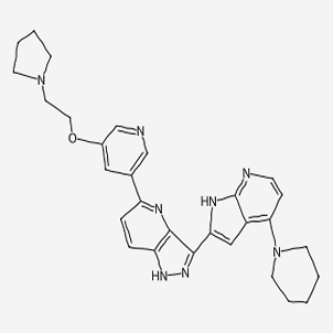 c1cc(N2CCCCC2)c2cc(-c3n[nH]c4ccc(-c5cncc(OCCN6CCCC6)c5)nc34)[nH]c2n1